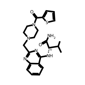 CC(C)[C@H](Nc1nc(CN2CCN(C(=O)c3cccs3)CC2)nc2ccccc12)C(N)=O